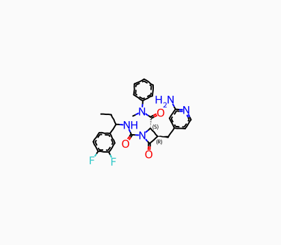 CCC(NC(=O)N1C(=O)[C@H](Cc2ccnc(N)c2)[C@H]1C(=O)N(C)c1ccccc1)c1ccc(F)c(F)c1